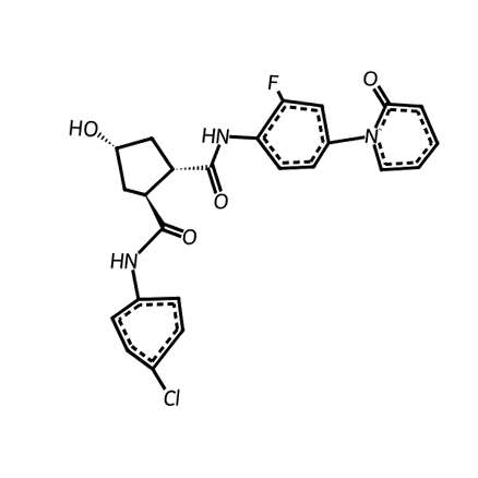 O=C(Nc1ccc(Cl)cc1)[C@H]1C[C@H](O)C[C@@H]1C(=O)Nc1ccc(-n2ccccc2=O)cc1F